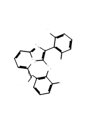 CCc1cccc2nc(-c3c(F)cccc3F)c(Nc3c(C)cccc3Cl)n12